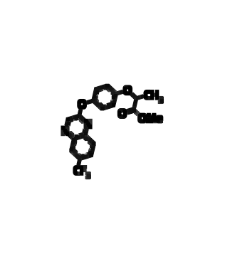 COC(=O)C(C)Oc1ccc(Oc2cnc3cc(C(F)(F)F)ccc3n2)cc1